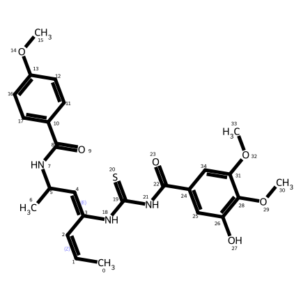 C/C=C\C(=C/C(C)NC(=O)c1ccc(OC)cc1)NC(=S)NC(=O)c1cc(O)c(OC)c(OC)c1